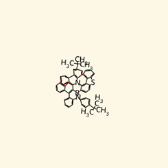 CC(C)(C)c1ccc(N2B3c4ccc5sc6ccccc6c5c4N(c4ccc(C(C)(C)C)cc4-c4ccccc4)c4cc5ccccc5c(c43)-c3ccccc32)cc1